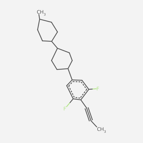 CC#Cc1c(F)cc(C2CCC(C3CCC(C)CC3)CC2)cc1F